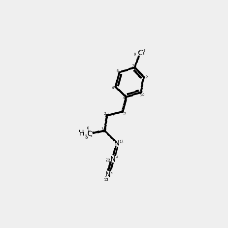 CC(CCc1ccc(Cl)cc1)N=[N+]=[N-]